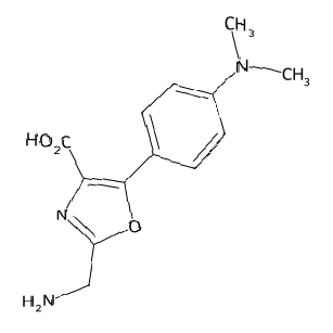 CN(C)c1ccc(-c2oc(CN)nc2C(=O)O)cc1